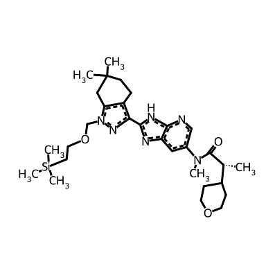 C[C@@H](C(=O)N(C)c1cnc2[nH]c(-c3nn(COCC[Si](C)(C)C)c4c3CCC(C)(C)C4)nc2c1)C1CCOCC1